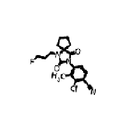 Cc1c(N2C(=O)N(CCCF)C3(CCCC3)C2=O)ccc(C#N)c1Cl